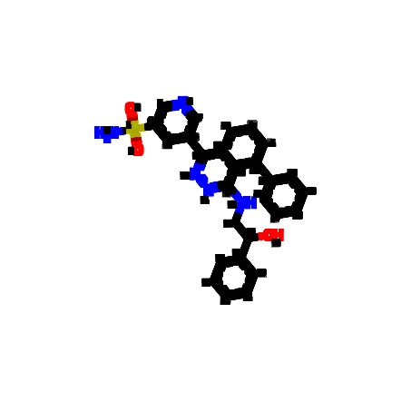 NS(=O)(=O)c1cncc(-c2nnc(NCC(O)c3ccccc3)c3c(-c4ccccc4)cccc23)c1